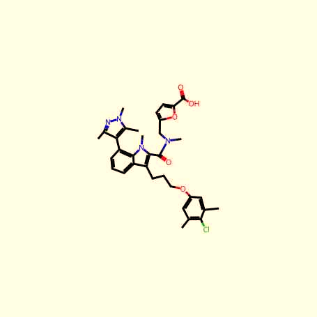 Cc1cc(OCCCc2c(C(=O)N(C)Cc3ccc(C(=O)O)o3)n(C)c3c(-c4c(C)nn(C)c4C)cccc23)cc(C)c1Cl